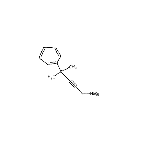 CNCC#CS(C)(C)c1ccccc1